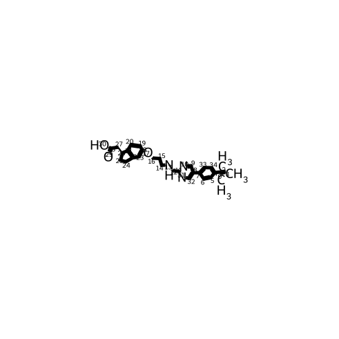 CC(C)(C)c1ccc(-c2cnc(CNCCCOc3ccc4c(c3)CC[C@H]4CC(=O)O)nc2)cc1